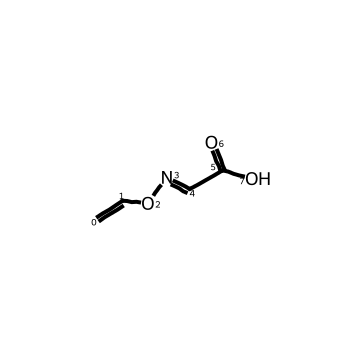 C=CON=CC(=O)O